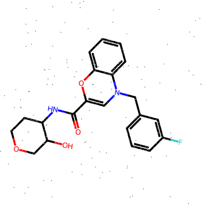 O=C(NC1CCOCC1O)C1=CN(Cc2cccc(F)c2)c2ccccc2O1